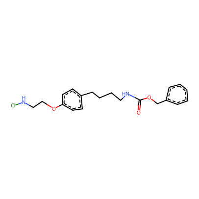 O=C(NCCCCc1ccc(OCCNCl)cc1)OCc1ccccc1